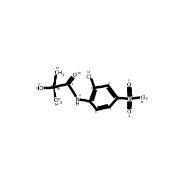 CC(C)(C)S(=O)(=O)c1ccc(NC(=O)[C@@](C)(O)C(F)(F)F)c(Cl)c1